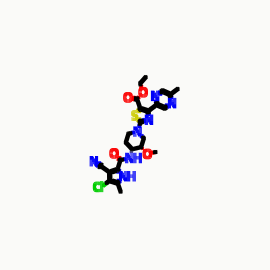 CCOC(=O)c1sc(N2CC[C@@H](NC(=O)c3[nH]c(C)c(Cl)c3C#N)[C@@H](OC)C2)nc1-c1cnc(C)cn1